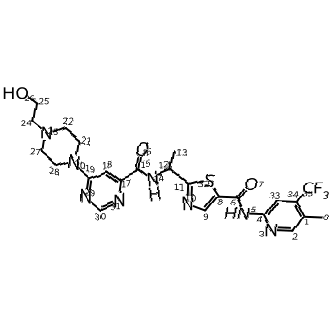 Cc1cnc(NC(=O)c2cnc(C(C)NC(=O)c3cc(N4CCN(CCO)CC4)ncn3)s2)cc1C(F)(F)F